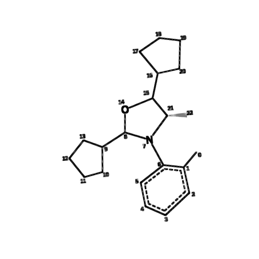 Cc1ccccc1N1C(C2CCCC2)OC(C2CCCC2)[C@@H]1C